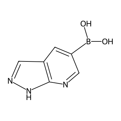 OB(O)c1cnc2[nH]ncc2c1